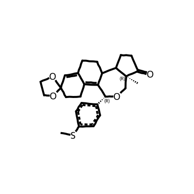 CSc1ccc([C@H]2OC[C@]3(C)C(=O)CCC3C3CCC4=CC5(CCC4=C32)OCCO5)cc1